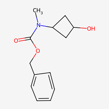 CN(C(=O)OCc1ccccc1)C1CC(O)C1